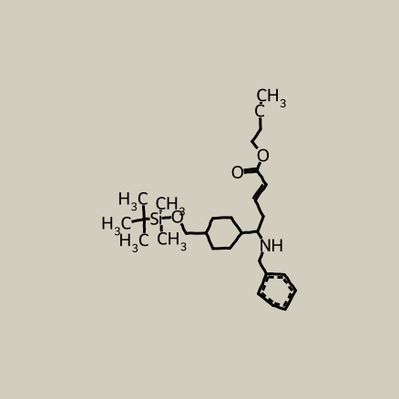 CCCCOC(=O)C=CCC(NCc1ccccc1)C1CCC(CO[Si](C)(C)C(C)(C)C)CC1